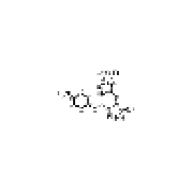 CCOC(=O)c1c[nH]c(/C=C2/C(=O)NN=C2CCc2ccc(N)cc2)c1